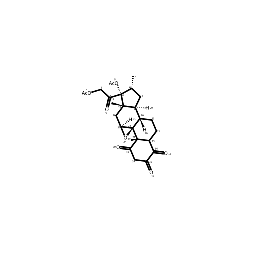 CC(=O)OCC(=O)[C@@]1(OC(C)=O)[C@H](C)C[C@H]2[C@@H]3CCC4C(=O)C(=O)CC(=O)[C@]4(C)[C@@]34O[C@H]4C[C@@]21C